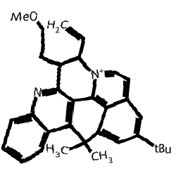 C=CC1C(CCOC)c2nc3ccccc3c3c2-c2c4c(cc(C(C)(C)C)cc4cc[n+]21)C3(C)C